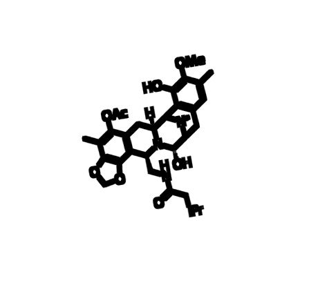 COc1c(C)cc2c(c1O)C1[C@@H]3Cc4c(OC(C)=O)c(C)c5c(c4[C@H](CNC(=O)CC(C)C)N3[C@@H](O)C(C2)N1C)OCO5